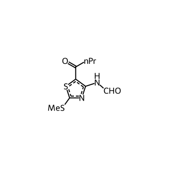 CCCC(=O)c1sc(SC)nc1NC=O